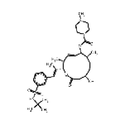 C/C(=C\c1cccc(S(=O)(=O)NC(C)(C)C)c1)[C@H]1OC(=O)C[C@H](O)CC[C@H](C)[C@H](OC(=O)N2CCN(C)CC2)/C=C/[C@@H]1C